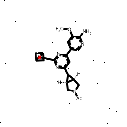 CC(=O)N1C[C@@H]2C(c3cc(-c4cnc(N)c(OC(F)(F)F)c4)nc(N4CC5CC4C5)n3)[C@@H]2C1